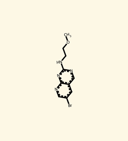 COCCNc1ncc2cc(Br)cnc2n1